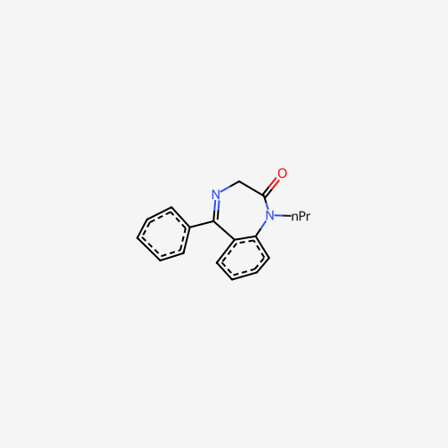 CCCN1C(=O)CN=C(c2ccccc2)c2ccccc21